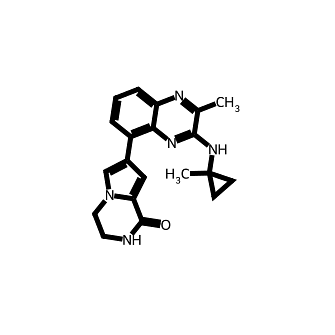 Cc1nc2cccc(-c3cc4n(c3)CCNC4=O)c2nc1NC1(C)CC1